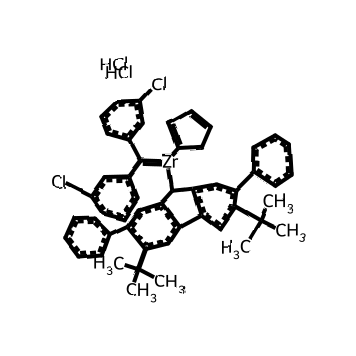 CC(C)(C)c1cc2c(cc1-c1ccccc1)[CH]([Zr]([C]1=CC=CC1)=[C](c1cccc(Cl)c1)c1cccc(Cl)c1)c1cc(-c3ccccc3)c(C(C)(C)C)cc1-2.Cl.Cl